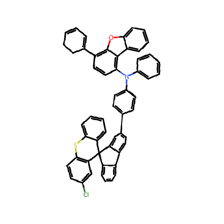 Clc1ccc2c(c1)C1(c3ccccc3S2)c2ccccc2-c2ccc(-c3ccc(N(c4ccccc4)c4ccc(C5=CC=CCC5)c5oc6ccccc6c45)cc3)cc21